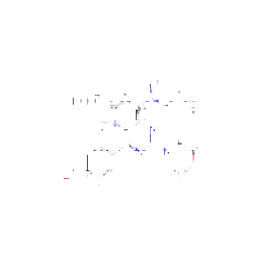 CC1=C(c2nc(N3CCOCC3)nc3c(N(C)CCO)cc(C(=O)O)nc23)C=CC(O)C1